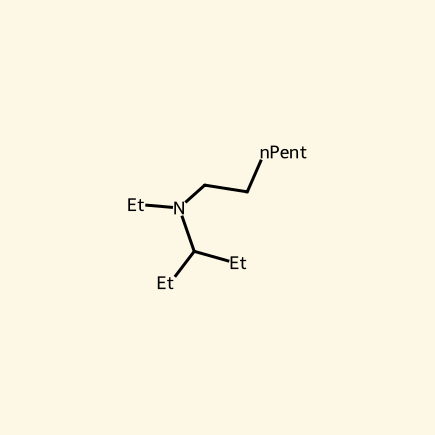 CCCCCCCN(CC)C(CC)CC